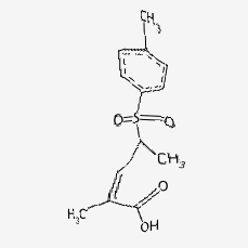 CC(=CC(C)S(=O)(=O)c1ccc(C)cc1)C(=O)O